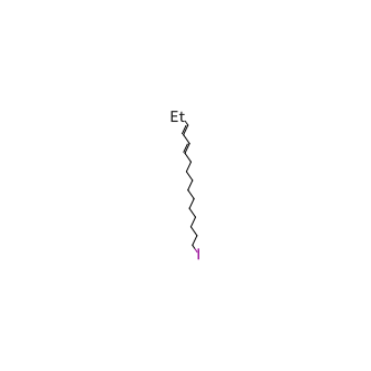 CCC=CC=CCCCCCCCCCCI